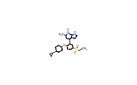 CCS(=O)(=O)c1ccc(Oc2ccc(C3CC3)cc2)c(-c2cc(C)[n+]([O-])c3[nH]ccc23)c1